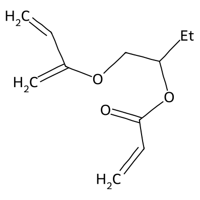 C=CC(=C)OCC(CC)OC(=O)C=C